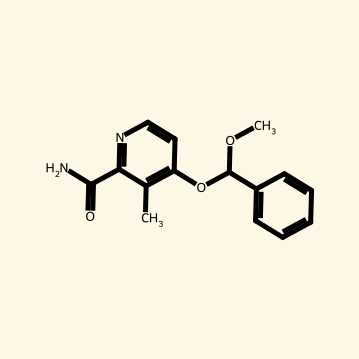 COC(Oc1ccnc(C(N)=O)c1C)c1ccccc1